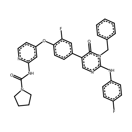 O=C(Nc1cc(Oc2ccc(-c3cnc(Nc4ccc(F)cc4)n(Cc4ccccc4)c3=O)cc2F)ccn1)N1CCCC1